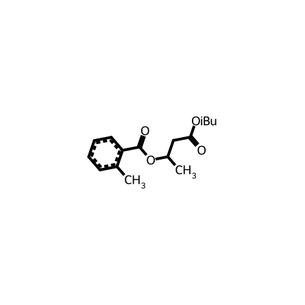 Cc1ccccc1C(=O)OC(C)CC(=O)OCC(C)C